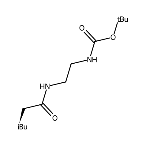 CC[C@H](C)CC(=O)NCCNC(=O)OC(C)(C)C